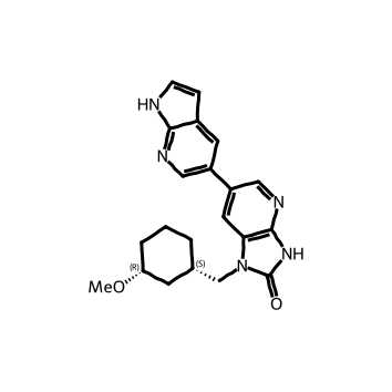 CO[C@@H]1CCC[C@H](Cn2c(=O)[nH]c3ncc(-c4cnc5[nH]ccc5c4)cc32)C1